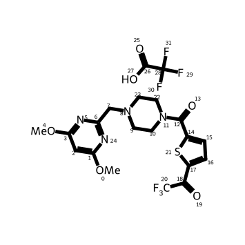 COc1cc(OC)nc(CN2CCN(C(=O)c3ccc(C(=O)C(F)(F)F)s3)CC2)n1.O=C(O)C(F)(F)F